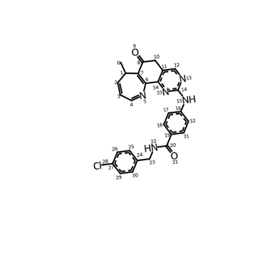 CC1C=CC=NC2=C1C(=O)Cc1cnc(Nc3ccc(C(=O)NCc4ccc(Cl)cc4)cc3)nc12